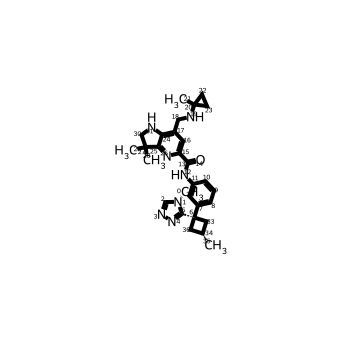 Cn1cnnc1[C@]1(c2cccc(NC(=O)c3cc(CNC4(C)CC4)c4c(n3)C(C)(C)CN4)c2)C[C@H](C)C1